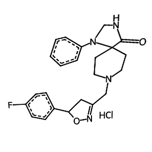 Cl.O=C1NCN(c2ccccc2)C12CCN(CC1=NOC(c3ccc(F)cc3)C1)CC2